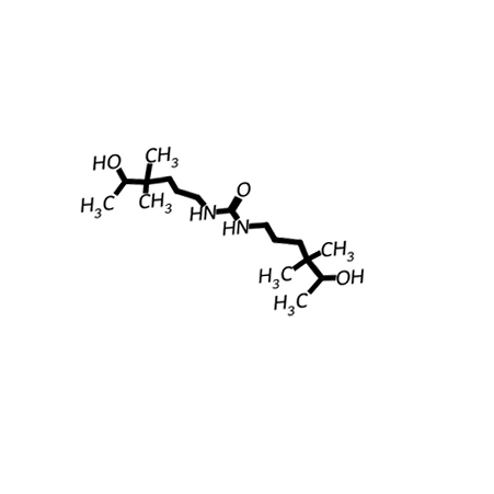 CC(O)C(C)(C)CCCNC(=O)NCCCC(C)(C)C(C)O